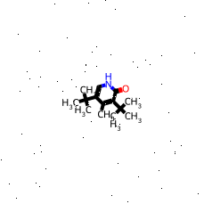 Cc1c(C(C)(C)C)c[nH]c(=O)c1C(C)(C)C